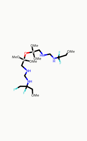 COCC(F)(F)NCNC[Si](OC)(OC)O[Si](CNCNC(F)(CF)COC)(OC)OC